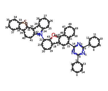 c1ccc(-c2nc(-c3ccccc3)nc(-c3cc4c5cccc(-n6c7ccccc7c7c8sc9ccccc9c8ccc76)c5oc4c4ccccc34)n2)cc1